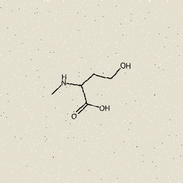 CNC(CCO)C(=O)O